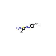 N#Cc1cc(/N=N/c2ccc([N+](=O)[O-])cc2)sc1N